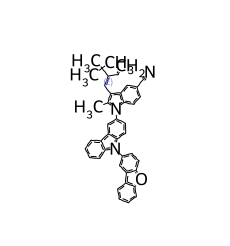 C=C/C(=C\c1c(C)n(-c2ccc3c(c2)c2ccccc2n3-c2ccc3oc4ccccc4c3c2)c2ccc(C#N)cc12)C(C)(C)C